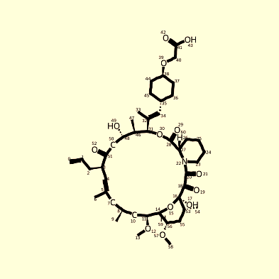 C=CC[C@@H]1/C=C(\C)C[C@H](C)C[C@H](OC)[C@H]2O[C@@](O)(C(=O)C(=O)N3CCCC[C@H]3C(=O)O[C@H](/C(C)=C/[C@H]3CC[C@H](OCC(=O)O)CC3)[C@H](C)[C@@H](O)CC1=O)[C@H](C)C[C@@H]2OC